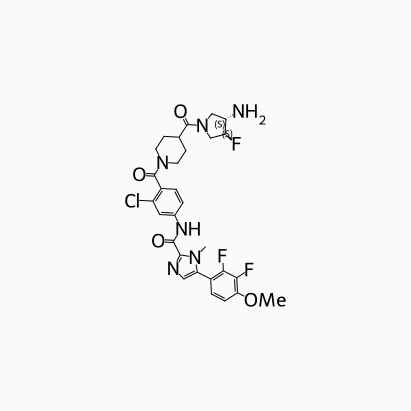 COc1ccc(-c2cnc(C(=O)Nc3ccc(C(=O)N4CCC(C(=O)N5C[C@H](N)[C@@H](F)C5)CC4)c(Cl)c3)n2C)c(F)c1F